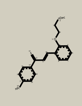 CCCCCCCCCCCCOc1ccccc1C=CC(=S)c1ccc(CCC)cc1